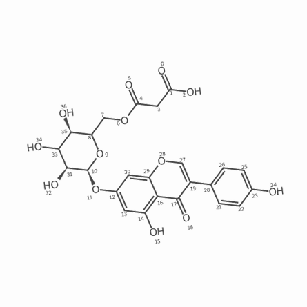 O=C(O)CC(=O)OCC1O[C@@H](Oc2cc(O)c3c(=O)c(-c4ccc(O)cc4)coc3c2)[C@@H](O)C(O)[C@H]1O